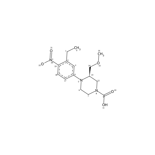 CCc1cc(N2CCN(C(=O)O)C[C@@H]2COC)ccc1[N+](=O)[O-]